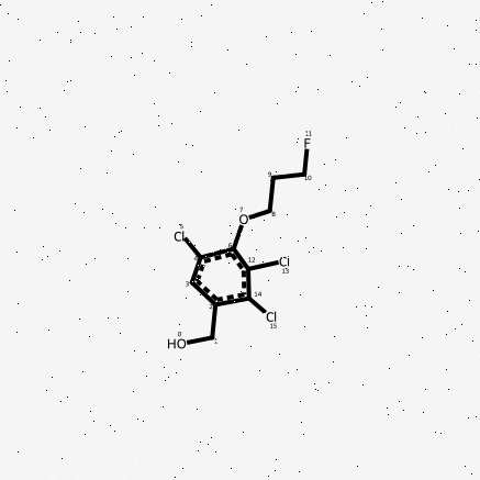 OCc1cc(Cl)c(OCCCF)c(Cl)c1Cl